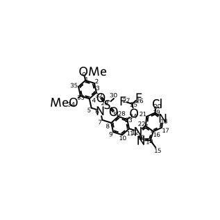 COc1ccc(CN(Cc2ccc(-n3nc(C)c4cnc(Cl)cc43)c(OC(F)F)c2)S(C)(=O)=O)c(OC)c1